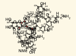 CN[C@H](CC(C)O)C(=O)N[C@H]1C(=O)N[C@@H](CC(N)=O)C(=O)N[C@H]2C(=O)N[C@H]3C(=O)N[C@H](C(=O)N[C@@H](C(=O)SCC(=O)NCCN)c4cc(O)cc(O)c4-c4cc3ccc4I)[C@H](O[C@H]3C[C@](C)(N)[C@@H](O)[C@H](C)O3)c3ccc(c(Cl)c3)Oc3cc2cc(c3O[C@@H]2O[C@H](CO)[C@@H](O)[C@H](O)[C@H]2O[C@H]2C[C@](C)(NCc3ccc(-c4ccc(Cl)cc4)cc3)[C@@H](O)[C@H](C)O2)Oc2ccc(cc2Cl)[C@H]1O